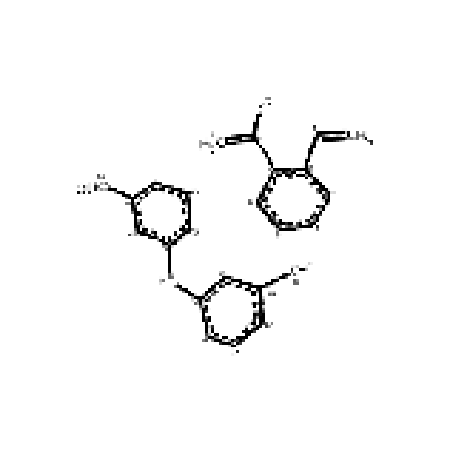 C=Cc1ccccc1C(=C)Cl.O=Cc1cccc(Oc2cccc(C=O)c2)c1